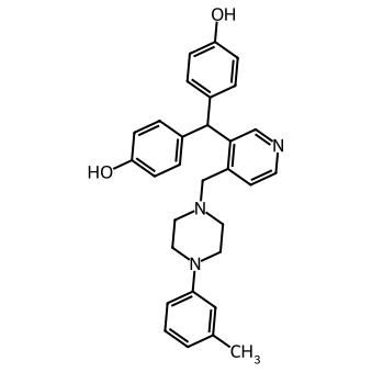 Cc1cccc(N2CCN(Cc3ccncc3C(c3ccc(O)cc3)c3ccc(O)cc3)CC2)c1